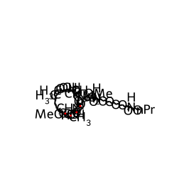 CCCOCCNC(=O)CCOCCOCCOCCOCCNC(=O)O[C@@H]1CC[C@@H](C[C@@H](N)[C@@H]2CC(=O)C(C)/C=C(\C)[C@@H](O)[C@@H](O)C(=O)[C@H](C)C[C@H](C)/C=C/C=C/C=C(\C)[C@@H](OC)C[C@@H]3CC[C@@H](C)[C@@](O)(O3)C(=O)C(=O)N3CCCC[C@H]3C(=O)O2)C[C@H]1OC